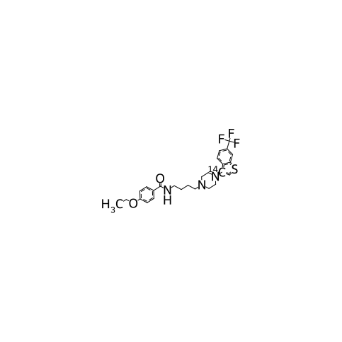 CCOc1ccc(C(=O)NCCCCN2CCN([14c]3csc4cc(C(F)(F)F)ccc43)CC2)cc1